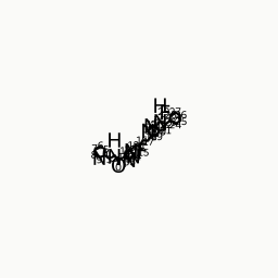 O=C(NCc1ccccn1)c1cn(CC(F)CCc2cc3cc(-c4ccccc4F)[nH]c3nn2)nn1